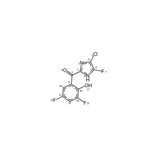 O=C(c1nc(Cl)c(F)[nH]1)c1cc(F)cc(F)c1O